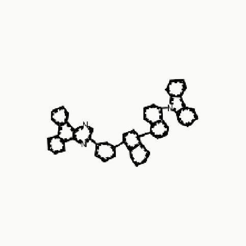 c1cc(-c2cnc3c4ccccc4c4ccccc4c3n2)cc(-c2ccc(-c3cccc4c(-n5c6ccccc6c6ccccc65)cccc34)c3ccccc23)c1